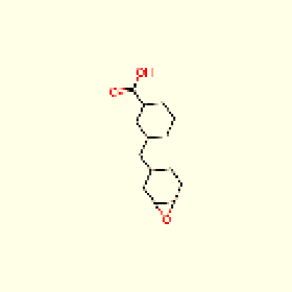 O=C(O)C1CCCC(CC2CCC3OC3C2)C1